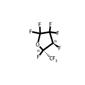 F[C@@H]1C(F)(F)C(F)(F)O[C@@]1(F)C(F)(F)F